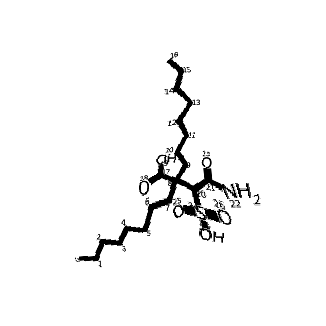 CCCCCCCCC(CCCCCCCC)(C(=O)O)C(C(N)=O)S(=O)(=O)O